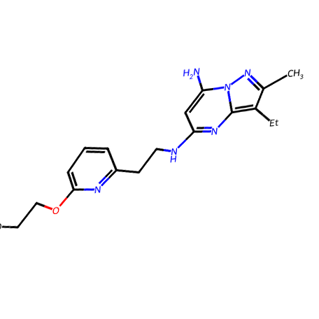 CCc1c(C)nn2c(N)cc(NCCc3cccc(OCCOC)n3)nc12